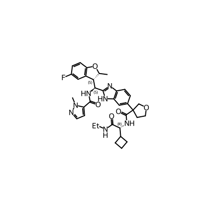 CCNC(=O)[C@H](NC(=O)C1(c2ccc3nc([C@@H](NC(=O)c4ccnn4C)[C@@H]4c5cc(F)ccc5OC4C)[nH]c3c2)CCOC1)C1CCC1